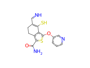 N=CC1=C(S)c2c(Oc3cccnc3)sc(C(N)=O)c2CC1